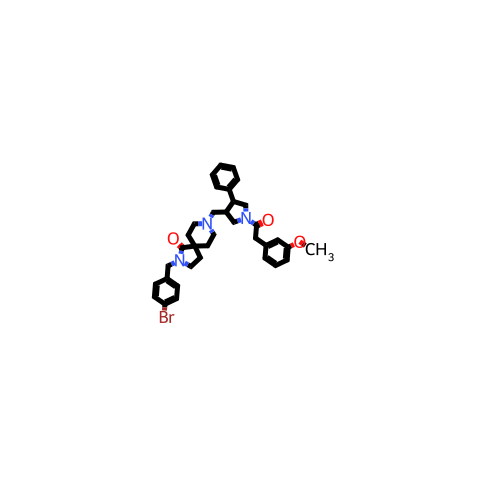 COc1cccc(CC(=O)N2CC(CN3CCC4(CC3)CCN(Cc3ccc(Br)cc3)C4=O)C(c3ccccc3)C2)c1